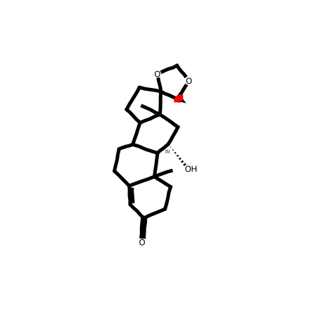 CC12CCC(=O)C=C1CCC1C2[C@@H](O)CC2(C)C1CCC21OCOC12COCO2